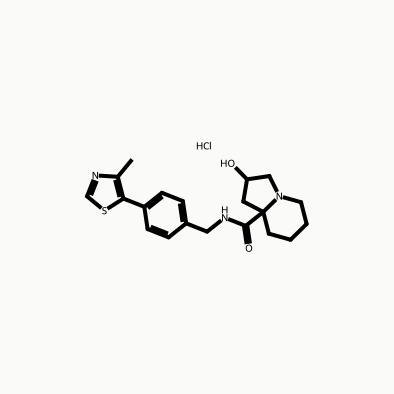 Cc1ncsc1-c1ccc(CNC(=O)C23CCCCN2CC(O)C3)cc1.Cl